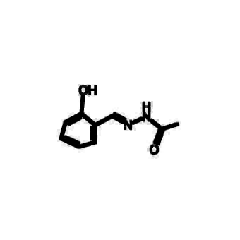 CC(=O)NN=Cc1ccccc1O